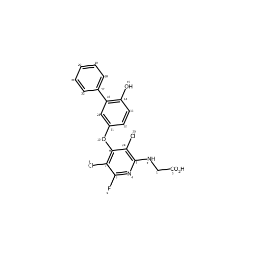 O=C(O)CNc1nc(F)c(Cl)c(Oc2ccc(O)c(-c3ccccc3)c2)c1Cl